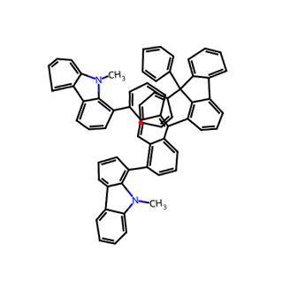 Cn1c2ccccc2c2cccc(-c3cccc4c(-c5cccc6c5C(c5ccccc5)(c5ccccc5)c5ccccc5-6)c5cccc(-c6cccc7c8ccccc8n(C)c67)c5cc34)c21